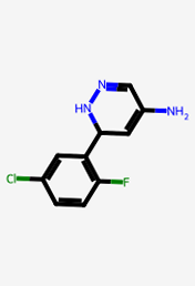 NC1=CC(c2cc(Cl)ccc2F)NN=C1